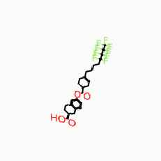 O=C(O)C1CCc2cc(OC(=O)C3CC=C(CCCCC(F)(F)C(F)(F)C(F)(F)C(F)(F)F)CC3)ccc2C1